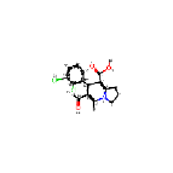 COC(=O)C1=C2CCCN2C(C)=C(C(C)=O)C1c1cccc(Cl)c1Cl